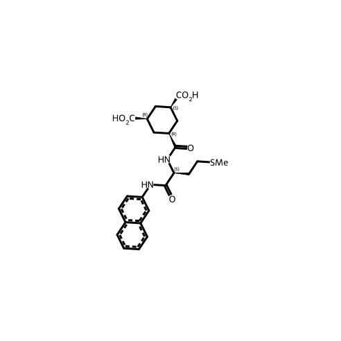 CSCC[C@H](NC(=O)[C@@H]1C[C@H](C(=O)O)C[C@H](C(=O)O)C1)C(=O)Nc1ccc2ccccc2c1